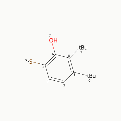 CC(C)(C)c1ccc([S])c(O)c1C(C)(C)C